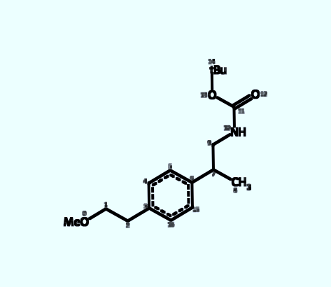 COCCc1ccc(C(C)CNC(=O)OC(C)(C)C)cc1